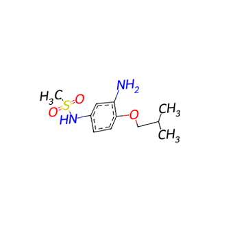 CC(C)COc1ccc(NS(C)(=O)=O)cc1N